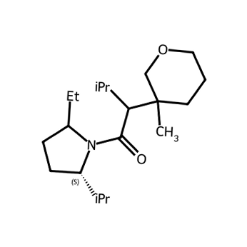 CCC1CC[C@@H](C(C)C)N1C(=O)C(C(C)C)C1(C)CCCOC1